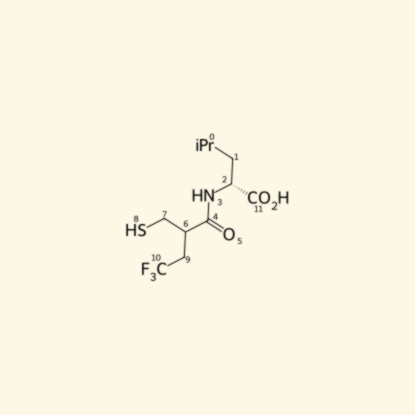 CC(C)C[C@@H](NC(=O)C(CS)CC(F)(F)F)C(=O)O